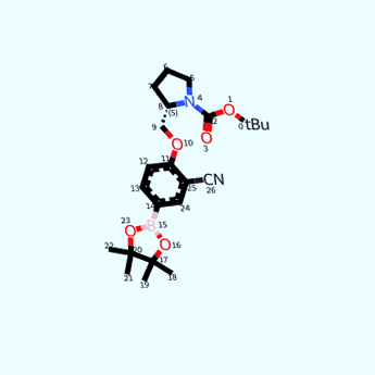 CC(C)(C)OC(=O)N1CCC[C@H]1COc1ccc(B2OC(C)(C)C(C)(C)O2)cc1C#N